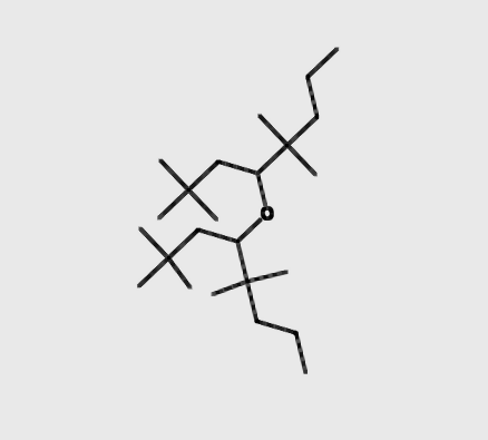 CCCC(C)(C)C(CC(C)(C)C)OC(CC(C)(C)C)C(C)(C)CCC